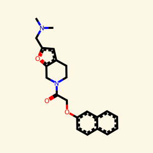 CN(C)Cc1cc2c(o1)CN(C(=O)COc1ccc3ccccc3c1)CC2